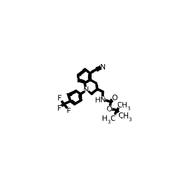 CC(C)(C)OC(=O)NCC1Cc2c(C#N)cccc2N(c2ccc(C(F)(F)F)cc2)C1